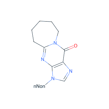 CCCCCCCCCn1cnc2c(=O)n3c(nc21)CCCCC3